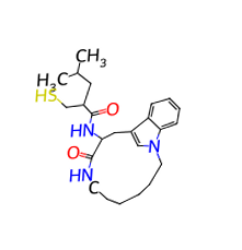 CC(C)CC(CS)C(=O)NC1Cc2cn(c3ccccc23)CCCCCCNC1=O